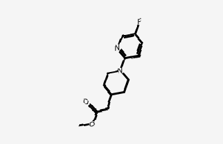 COC(=O)CC1CCN(c2ccc(F)cn2)CC1